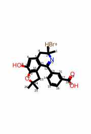 Br.CC1(C)Cc2cc(O)c3c(c2C(c2cccc(C(=O)O)c2)=N1)CC(C)(C)O3